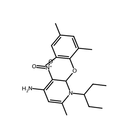 CCC(CC)N1C(C)=CC(N)=C([N+](=O)[O-])C1Oc1c(C)cc(C)cc1C